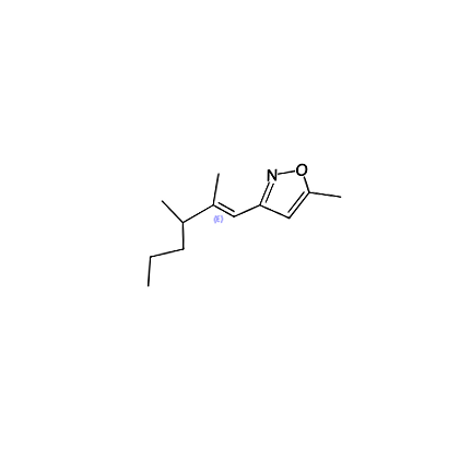 CCCC(C)/C(C)=C/c1cc(C)on1